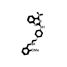 COc1ccccc1CNCC[C@H]1CC[C@@H](Nc2nc(N(C)C)c3ccccc3n2)CC1